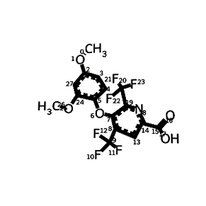 COc1ccc(Oc2c(C(F)(F)F)cc(C(=O)O)nc2C(F)(F)F)c(OC)c1